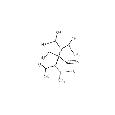 CC(C)N(C(C)C)C(C#N)(CP)N(C(C)C)C(C)C